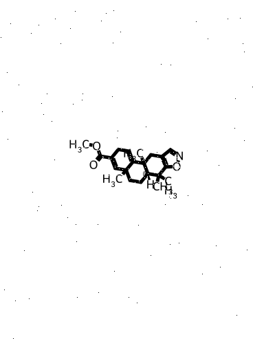 COC(=O)C1=CC2(C)CC[C@@H]3C(C)(Cc4cnoc4C3(C)C)C2=CC1